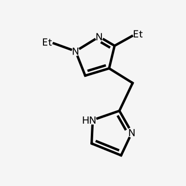 CCc1nn(CC)cc1Cc1ncc[nH]1